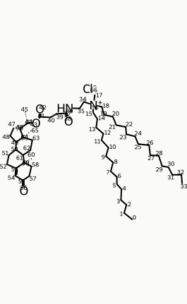 CCCCCCCCCCCCCCCC[N+](C)(CCCCCCCCCCCCCCCC)CCNC(=O)CCC(=O)O[C@@H](C)[C@H]1CCC2C3CCC4=CC(=O)CC[C@]4(C)C3CC[C@@]21C.[Cl-]